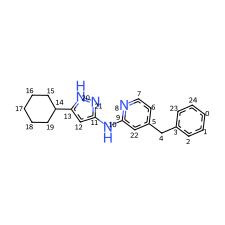 c1ccc(Cc2ccnc(Nc3cc(C4CCCCC4)[nH]n3)c2)cc1